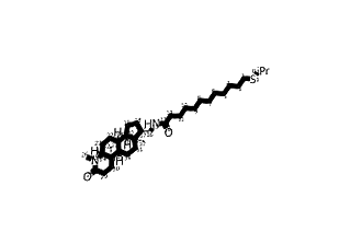 CC(C)SCCCCCCCCCCCC(=O)NC[C@H]1CC[C@H]2[C@@H]3CC[C@H]4N(C)C(=O)CC[C@]4(C)[C@H]3CC[C@]12C